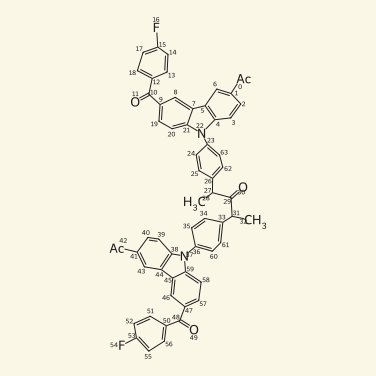 CC(=O)c1ccc2c(c1)c1cc(C(=O)c3ccc(F)cc3)ccc1n2-c1ccc(C(C)C(=O)C(C)c2ccc(-n3c4ccc(C(C)=O)cc4c4cc(C(=O)c5ccc(F)cc5)ccc43)cc2)cc1